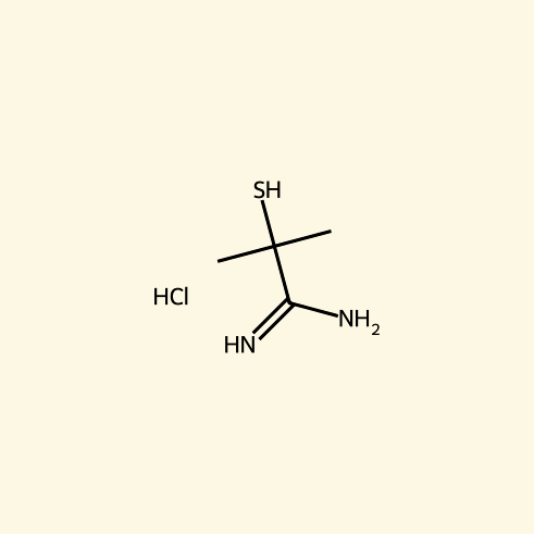 CC(C)(S)C(=N)N.Cl